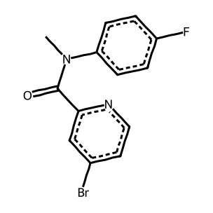 CN(C(=O)c1cc(Br)ccn1)c1ccc(F)cc1